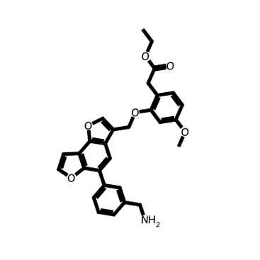 CCOC(=O)Cc1ccc(OC)cc1OCc1coc2c1cc(-c1cccc(CN)c1)c1occc12